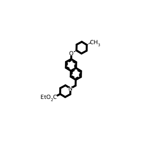 CCOC(=O)C1CCN(Cc2ccc3cc(O[C@H]4CC[C@@H](C)CC4)ccc3c2)CC1